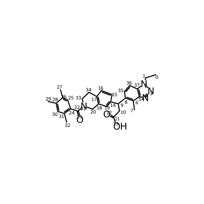 CCn1nnc2c(C)c(C(CC(=O)O)c3ccc4c(c3)CN(C(=O)c3cc(C)c(C)cc3C)CC4)ccc21